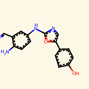 C/N=C\c1cc(Nc2ncc(-c3ccc(O)cc3)o2)ccc1N